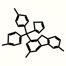 Cc1ccc(C(C2=CC=CC2)(c2ccc(C)cc2)c2cc(C)cc3c2Cc2ccc(C)cc2-3)cc1